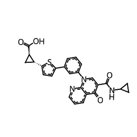 O=C(NC1CC1)c1cn(-c2cccc(-c3ccc([C@@H]4C[C@H]4C(=O)O)s3)c2)c2ncccc2c1=O